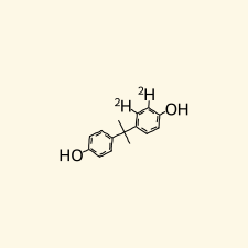 [2H]c1c(O)ccc(C(C)(C)c2ccc(O)cc2)c1[2H]